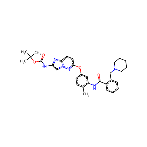 Cc1ccc(Oc2ccc3nc(NC(=O)OC(C)(C)C)cn3n2)cc1NC(=O)c1ccccc1CN1CCCCC1